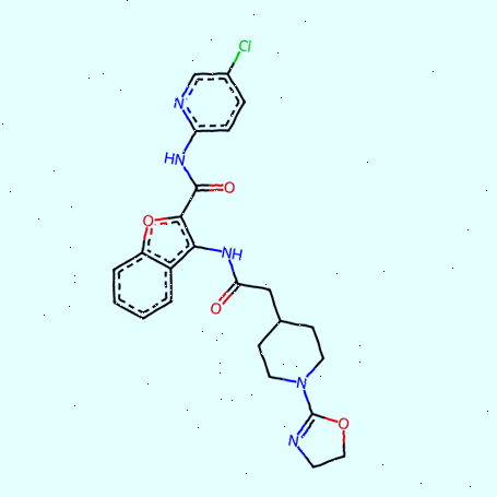 O=C(CC1CCN(C2=NCCO2)CC1)Nc1c(C(=O)Nc2ccc(Cl)cn2)oc2ccccc12